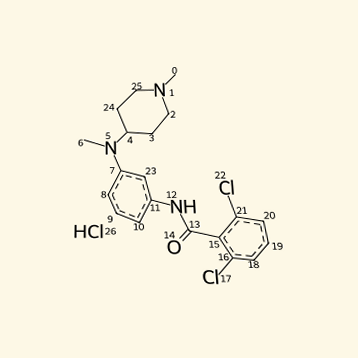 CN1CCC(N(C)c2cccc(NC(=O)c3c(Cl)cccc3Cl)c2)CC1.Cl